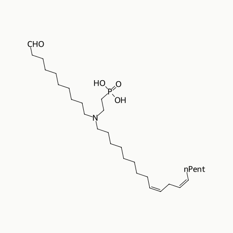 CCCCC/C=C\C/C=C\CCCCCCCCN(CCCCCCCCCC=O)CCP(=O)(O)O